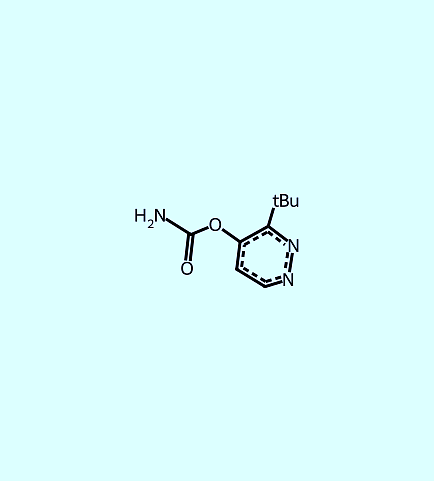 CC(C)(C)c1nnccc1OC(N)=O